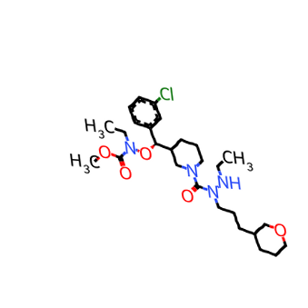 CCNN(CCCC1CCCOC1)C(=O)N1CCCC([C@@H](ON(CC)C(=O)OC)c2cccc(Cl)c2)C1